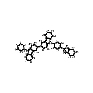 c1ccc(-n2c3ccccc3c3cc(-c4ccc5c(c4)c4ccccc4n5-c4ccc(-c5nc6ccccc6s5)cc4)ccc32)cc1